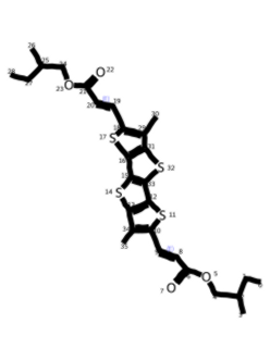 CCC(C)COC(=O)/C=C/c1sc2c(sc3c4sc(/C=C/C(=O)OCC(C)CC)c(C)c4sc23)c1C